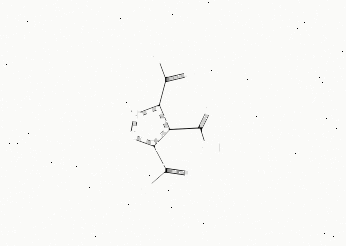 O=C(O)c1noc(C(=O)O)c1C(=O)O